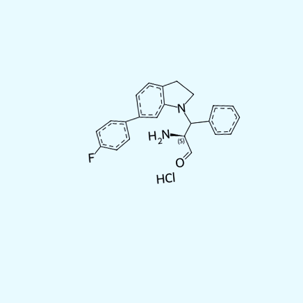 Cl.N[C@H](C=O)C(c1ccccc1)N1CCc2ccc(-c3ccc(F)cc3)cc21